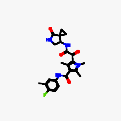 Cc1cc(NC(=O)c2c(C)c(C(=O)C(=O)NC3CNC(=O)C34CC4)n(C)c2C)ccc1F